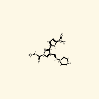 COC(=O)n1cc(/C=N/N2CCOCC2)c(-c2ccc([N+](=O)[O-])o2)n1